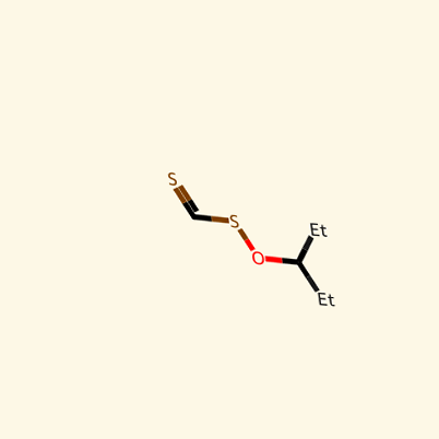 CCC(CC)OSC=S